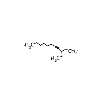 [CH2]CCCCCC#CC(C[CH2])CC